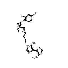 Cc1ncoc1-c1nnn(SCCCN2CC[C@]3(C[C@@H]3c3ccc(F)cc3F)C2)c1C